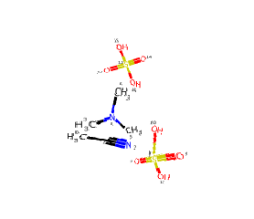 CC#N.CN(C)C.O=S(=O)(O)O.O=S(=O)(O)O